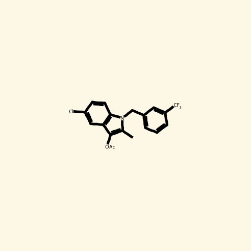 CC(=O)Oc1c(C)n(Cc2cccc(C(F)(F)F)c2)c2ccc(Cl)cc12